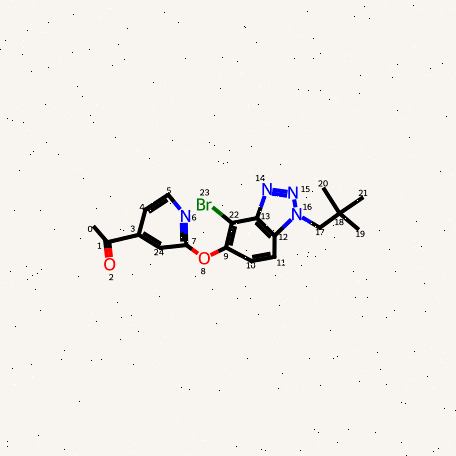 CC(=O)c1ccnc(Oc2ccc3c(nnn3CC(C)(C)C)c2Br)c1